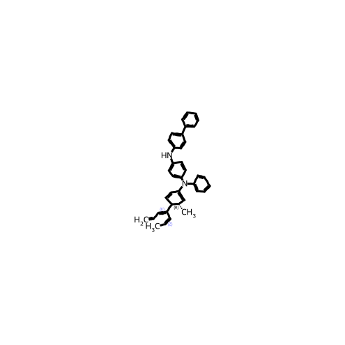 C=C/C=C(\C=C/C)C1C=CC(N(c2ccccc2)c2ccc(Nc3ccc(-c4ccccc4)cc3)cc2)=C[C@@H]1C